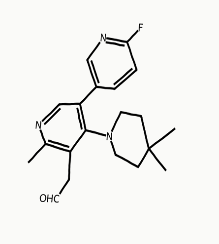 Cc1ncc(-c2ccc(F)nc2)c(N2CCC(C)(C)CC2)c1CC=O